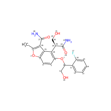 Cc1oc2ccc(OC(CO)c3ccccc3F)c([C@@H](CO)C(N)=O)c2c1C(N)=O